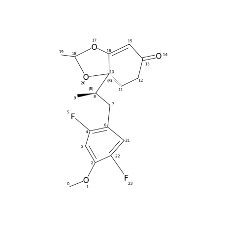 COc1cc(F)c(C[C@@H](C)[C@]23CCC(=O)C=C2OC(C)O3)cc1F